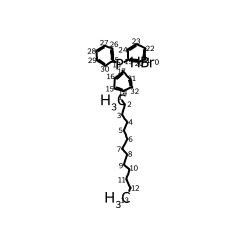 Br.CCCCCCCCCCCCC.c1ccc(P(c2ccccc2)c2ccccc2)cc1